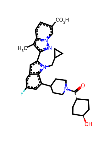 Cc1c(-c2cc3cc(F)cc(C4CCN(C(=O)[C@H]5CC[C@H](O)CC5)CC4)c3n2CC2CC2)nn2cc(C(=O)O)ccc12